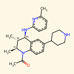 CC(=O)N1c2ccc(C3CCNCC3)cc2[C@H](Nc2cccc(C)n2)[C@@H](C)[C@@H]1C